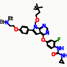 CCN(CC)CCOc1ccc(-c2cc3c(Oc4ccc(NC(=O)NC5CC5)c(F)c4)ncnc3n2COCC[Si](C)(C)C)cc1